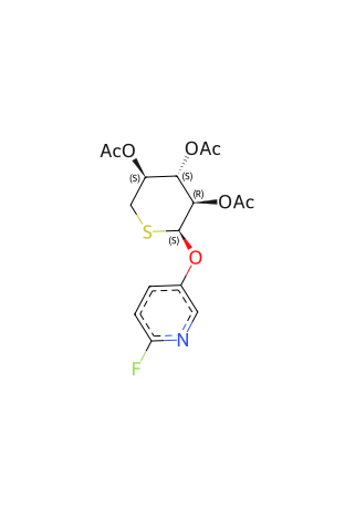 CC(=O)O[C@@H]1[C@@H](OC(C)=O)[C@@H](Oc2ccc(F)nc2)SC[C@H]1OC(C)=O